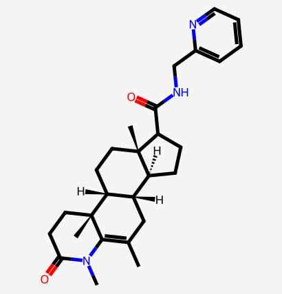 CC1=C2N(C)C(=O)CC[C@]2(C)[C@@H]2CC[C@]3(C)C(C(=O)NCc4ccccn4)CC[C@H]3[C@@H]2C1